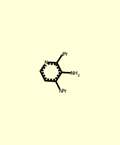 CCCc1ccnc(C(C)C)c1N